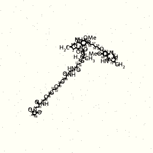 C=C1CC2C(O)N(C(=O)OCC(C)(C)SSCCC(=O)NCCNC(=O)CCOCCOCCOCCOCCNC(=O)CCN3C(=O)C=CC3=O)c3cc(OCCCCCOc4cc5c(cc4OC)C(=N)N4CC(=C)C[C@H]4C=N5)c(OC)cc3C(=N)N2C1